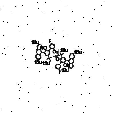 C[C@H](C[C@H](C)Oc1c(C(C)(C)CC(C)(C)C)cc(-c2c3ccc(C(C)(C)C)cc3cc3ccc(C(C)(C)C)cc23)c(O)c1-c1cccc(F)c1)Oc1ccc(F)cc1-c1cc(C(C)(C)CC(C)(C)C)cc(-c2c3ccc(C(C)(C)C)cc3cc3ccc(C(C)(C)C)cc23)c1O